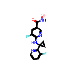 O=C(NO)c1cnc(NC2(c3ncccc3F)CC2)c(F)c1